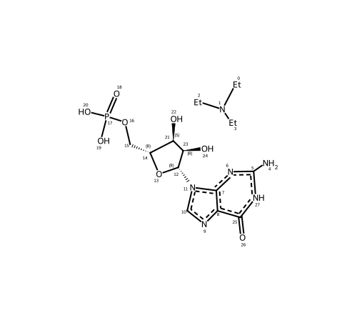 CCN(CC)CC.Nc1nc2c(ncn2[C@@H]2O[C@H](COP(=O)(O)O)[C@@H](O)[C@H]2O)c(=O)[nH]1